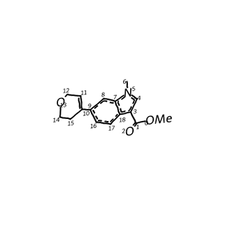 COC(=O)c1cn(C)c2cc(C3=CCOCC3)ccc12